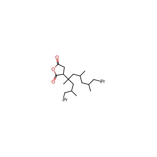 CC(C)CC(C)CC(C)CC(C)(CC(C)CC(C)C)C1CC(=O)OC1=O